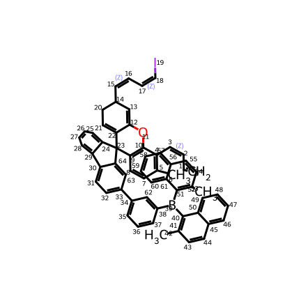 C=C/C=C\c1c(C)ccc2c1OC1=CC(/C=C\C=C/I)CC=C1C21c2ccccc2-c2ccc(-c3cccc(B(c4c(C)ccc5ccccc45)c4c(C)ccc5ccccc45)c3)cc21